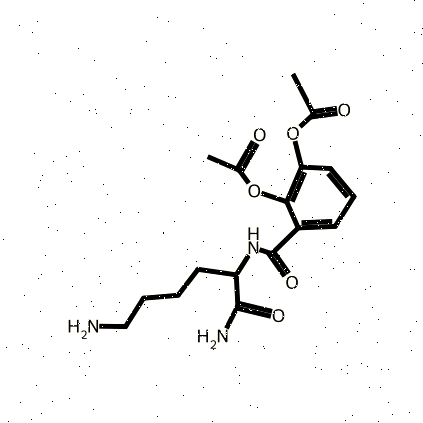 CC(=O)Oc1cccc(C(=O)NC(CCCCN)C(N)=O)c1OC(C)=O